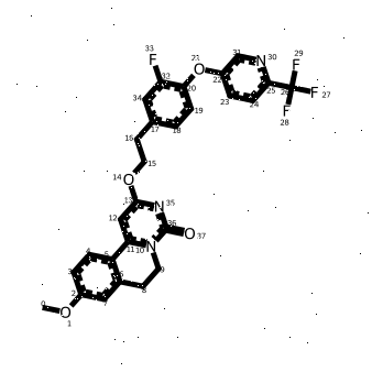 COc1ccc2c(c1)CCn1c-2cc(OCCc2ccc(Oc3ccc(C(F)(F)F)nc3)c(F)c2)nc1=O